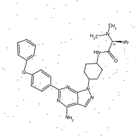 CCC[C@@H](C(=O)NC1CCC(n2ncc3c(N)nc(-c4ccc(Oc5ccccc5)cc4)nc32)CC1)N(C)C